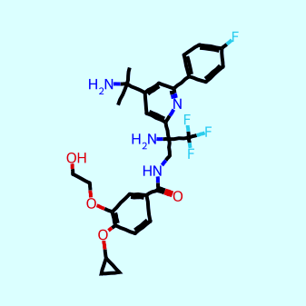 CC(C)(N)c1cc(-c2ccc(F)cc2)nc(C(N)(CNC(=O)c2ccc(OC3CC3)c(OCCO)c2)C(F)(F)F)c1